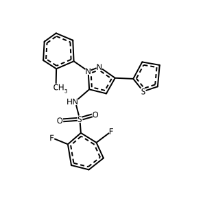 Cc1ccccc1-n1nc(-c2cccs2)cc1NS(=O)(=O)c1c(F)cccc1F